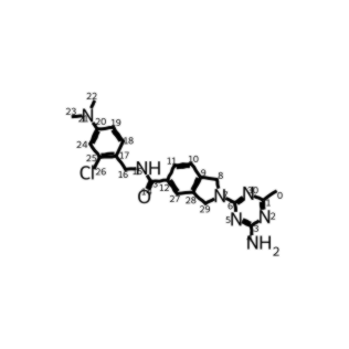 Cc1nc(N)nc(N2Cc3ccc(C(=O)NCc4ccc(N(C)C)cc4Cl)cc3C2)n1